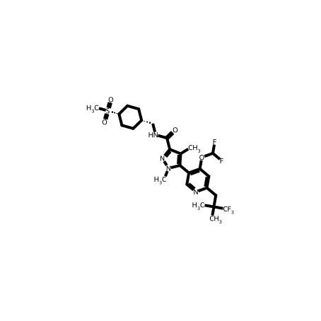 Cc1c(C(=O)NC[C@H]2CC[C@@H](S(C)(=O)=O)CC2)nn(C)c1-c1cnc(CC(C)(C)C(F)(F)F)cc1OC(F)F